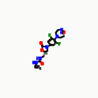 CNC(=O)NC[C@H]1CN(c2cc(F)c(N3CCNOCC3)c(F)c2)C(=O)O1